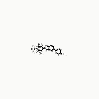 C[C@H]1CCC(c2ccc3nn(C4CC(C)(C)N(C)C(C)(C)C4)cc3c2)=NC1